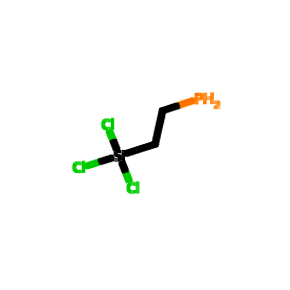 PCC[Si](Cl)(Cl)Cl